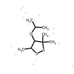 CC(C)OC1C(C)SSC1(C)C